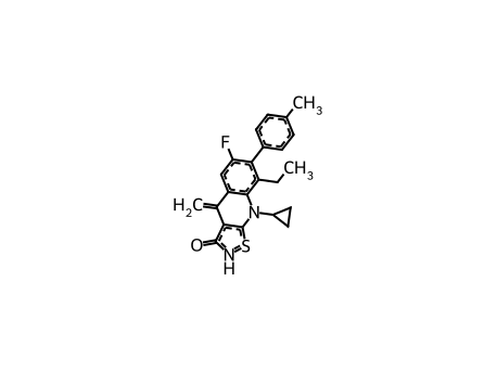 C=C1c2cc(F)c(-c3ccc(C)cc3)c(CC)c2N(C2CC2)c2s[nH]c(=O)c21